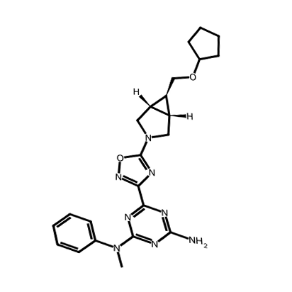 CN(c1ccccc1)c1nc(N)nc(-c2noc(N3C[C@@H]4[C@@H](COC5CCCC5)[C@@H]4C3)n2)n1